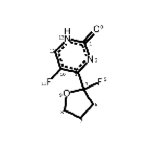 O=c1nc(C2(F)CCCO2)c(F)c[nH]1